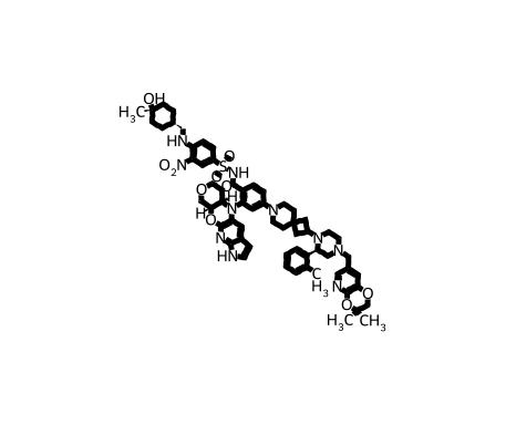 Cc1ccccc1[C@@H]1CN(Cc2cnc3c(c2)OCC(C)(C)O3)CCN1C1CC2(CCN(c3ccc(C(=O)NS(=O)(=O)c4ccc(NC[C@H]5CC[C@](C)(O)CC5)c([N+](=O)[O-])c4)c(N4c5cc6cc[nH]c6nc5O[C@H]5COCC[C@@H]54)c3)CC2)C1